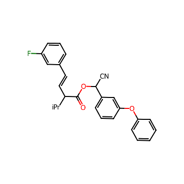 CC(C)C(C=Cc1cccc(F)c1)C(=O)OC(C#N)c1cccc(Oc2ccccc2)c1